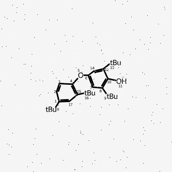 CC(C)(C)c1ccc(Oc2cc(C(C)(C)C)c(O)c(C(C)(C)C)c2)c(C(C)(C)C)c1